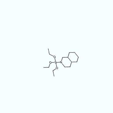 CCO[Si](OCC)(OCC)N1CCC2CCCCC2C1